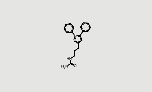 NC(=O)NCCCc1cc(-c2ccccc2)n(-c2ccccc2)n1